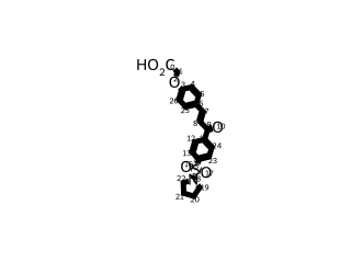 O=C(O)COc1ccc(/C=C/C(=O)c2ccc(S(=O)(=O)N3CCCC3)cc2)cc1